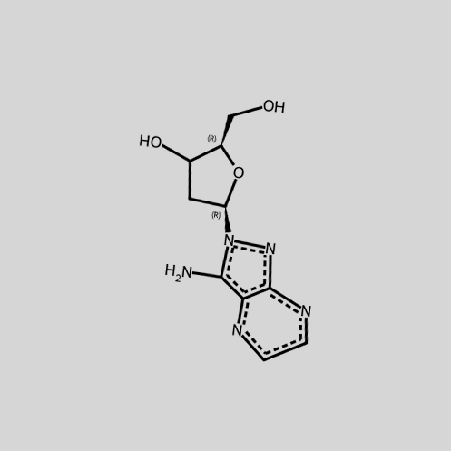 Nc1c2nccnc2nn1[C@H]1CC(O)[C@@H](CO)O1